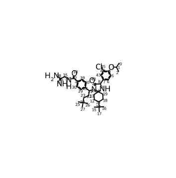 CC(C)Oc1ccc(C2NC3(CCC(C(C)(C)C)CC3)N(C(CCC(C)(C)C)c3ccc(C(=O)NCC(=N)N)cc3)C2=O)cc1Cl